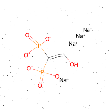 O=P([O-])([O-])C(=CO)P(=O)([O-])[O-].[Na+].[Na+].[Na+].[Na+]